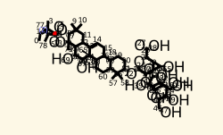 C/C=C(/C)C(=O)O[C@@H]1C(C)(C)CC2C3=CCC4[C@@]5(C)CC[C@H](O[C@@H]6OC(C(=O)O)C7(O[C@@H]8O[C@@H](CO)C(O)C8O)C(C6O[C@@H]6OC(CO)[C@H](O)C(O)C6O)[C@@H]7O)C(C)(C)C5CC[C@@]4(C)[C@]3(C)[C@@H](O)[C@@H](O)[C@]23CC13OC(=O)C(C)C